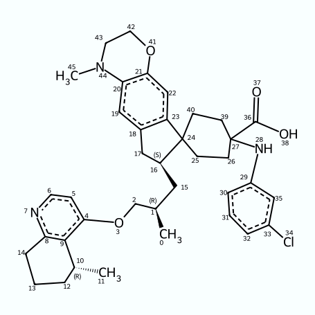 C[C@@H](COc1ccnc2c1[C@H](C)CCC2)C[C@H]1Cc2cc3c(cc2C12CCC(Nc1cccc(Cl)c1)(C(=O)O)CC2)OCCN3C